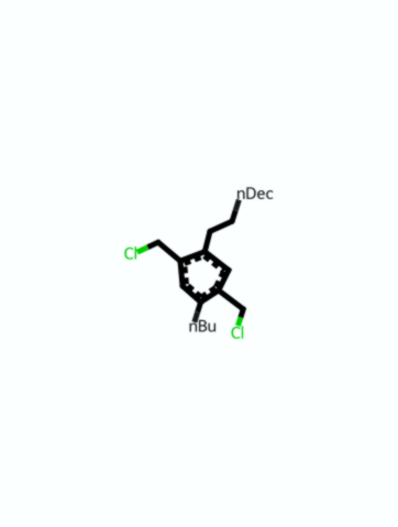 CCCCCCCCCCCCc1cc(CCl)c(CCCC)cc1CCl